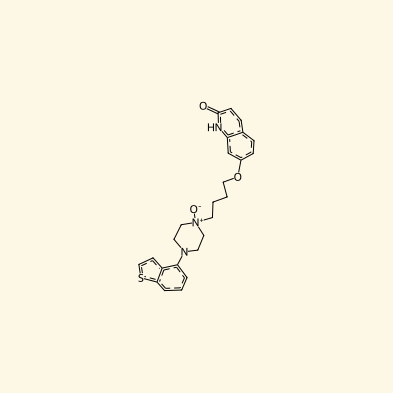 O=c1ccc2ccc(OCCCC[N+]3([O-])CCN(c4cccc5sccc45)CC3)cc2[nH]1